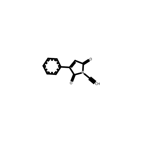 C#CN1C(=O)C=C(c2ccccc2)C1=O